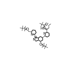 CCC[C@H](N[S+]([O-])C(C)(C)C)c1cccc(-c2cc(O[Si](C)(C)C(C)(C)C)c3cnn(-c4cccc(CO[Si](C)(C)C(C)(C)C)n4)c3c2)n1